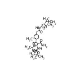 Cc1cc(CC(=O)Nc2cc(CC(C)(C)C)no2)ccc1-c1nn(C(C)C)c(NC(=O)OC(C)(C)C)c1C(N)=O